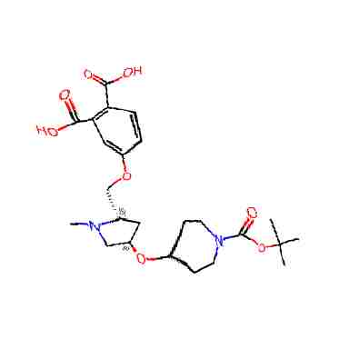 CN1C[C@H](OC2CCN(C(=O)OC(C)(C)C)CC2)C[C@H]1COc1ccc(C(=O)O)c(C(=O)O)c1